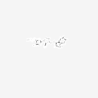 Cc1nc(N2CCN(CCc3c[nH]c4ccccc34)C2=O)sc1C(=O)O